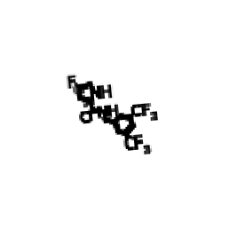 O=C(NCc1cc(C(F)(F)F)cc(C(F)(F)F)c1)[C@H]1C[C@H](F)CN1